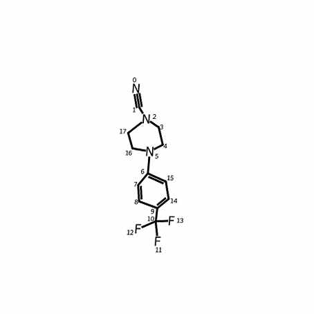 N#CN1CCN(c2ccc(C(F)(F)F)cc2)CC1